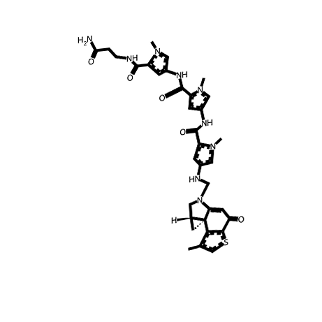 Cc1csc2c1[C@@]13C[C@@H]1CN(CNc1cc(C(=O)Nc4cc(C(=O)Nc5cc(C(=O)NCCC(N)=O)n(C)c5)n(C)c4)n(C)c1)C3=CC2=O